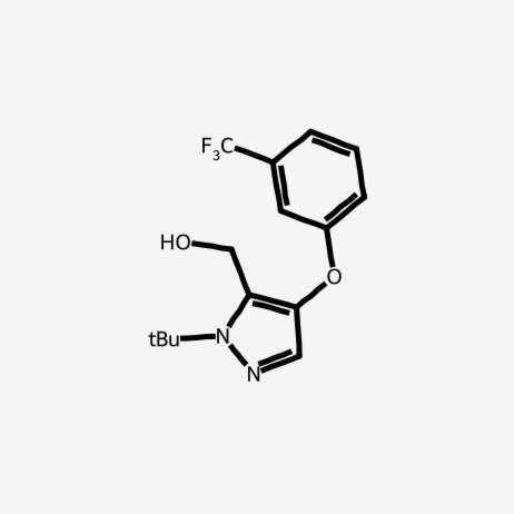 CC(C)(C)n1ncc(Oc2cccc(C(F)(F)F)c2)c1CO